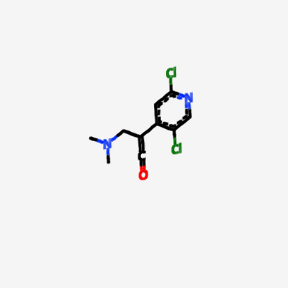 CN(C)CC(=C=O)c1cc(Cl)ncc1Cl